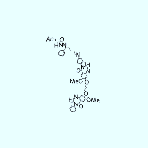 COc1cc2c(cc1OCCCOc1cc3c(cc1OC)C(=O)N1c4ccc(N(C)CCCC/C(=N/NC(=O)CCC(C)=O)c5ccccc5)cc4C[C@H]1C=N3)N=C[C@@H]1Cc3ccccc3N1C2=O